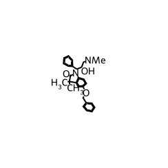 CNCC(O)C(c1ccccc1)N1C(=O)C(C)(C)c2cc(OCc3ccccc3)ccc21